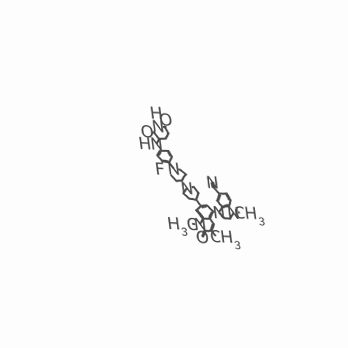 Cc1cc2c(N3CCN(C)c4ccc(C#N)cc43)cc(C3CCN(C4CCN(c5ccc(NC6CCC(=O)NC6=O)cc5F)CC4)CC3)cc2n(C)c1=O